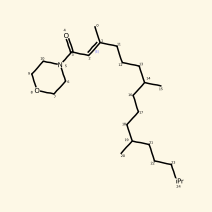 C/C(=C\C(=O)N1CCOCC1)CCCC(C)CCCC(C)CCCC(C)C